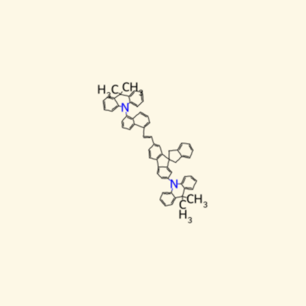 CC1(C)c2ccccc2N(c2ccc3c(c2)C2(Cc4ccccc4C2)c2cc(/C=C/c4cccc5c(N6c7ccccc7C(C)(C)c7ccccc76)cccc45)ccc2-3)c2ccccc21